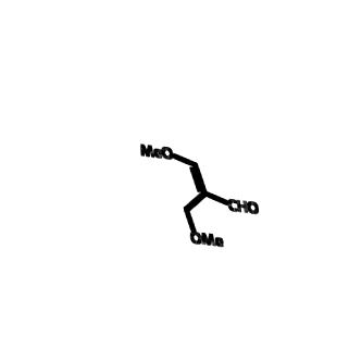 COC=C(C=O)COC